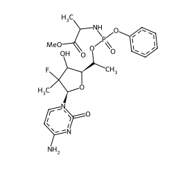 COC(=O)C(C)NP(=O)(Oc1ccccc1)OC(C)[C@H]1O[C@@H](n2ccc(N)nc2=O)C(C)(F)C1O